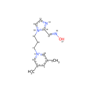 Cc1cc(C)c[n+](CCCn2ccnc2/C=N/O)c1